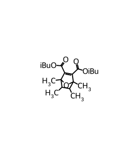 CC(C)COC(=O)C1=C(C(=O)OCC(C)C)C2(C)OC1(C)C(C)C2C